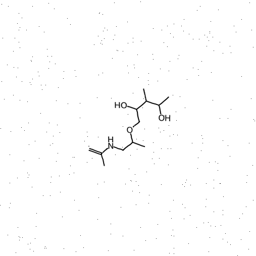 C=C(C)NCC(C)OCC(O)C(C)C(C)O